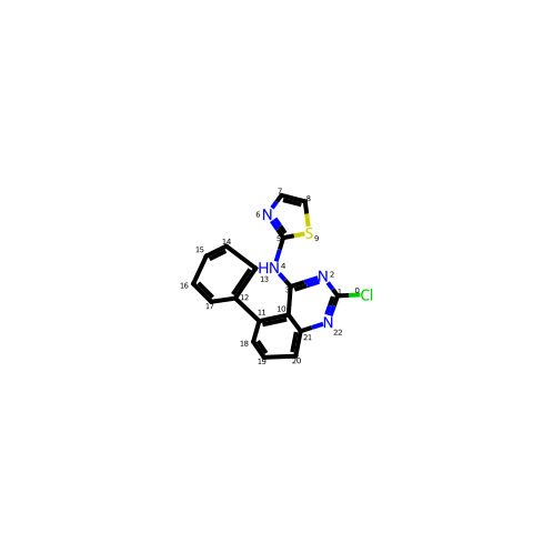 Clc1nc(Nc2nccs2)c2c(-c3ccccc3)cccc2n1